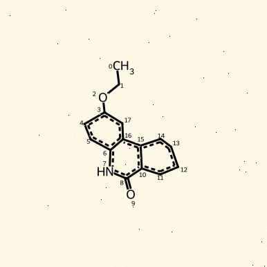 CCOc1ccc2[nH]c(=O)c3ccccc3c2c1